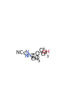 C[C@@]1(c2ccccc2)CN(c2ncc(C#N)cn2)C[C@@H]1c1ccc(C(O)(C(F)(F)F)C(F)(F)F)cc1